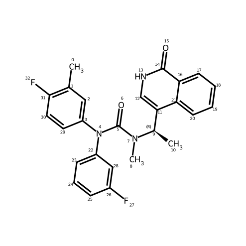 Cc1cc(N(C(=O)N(C)[C@H](C)c2c[nH]c(=O)c3ccccc23)c2cccc(F)c2)ccc1F